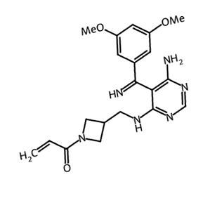 C=CC(=O)N1CC(CNc2ncnc(N)c2C(=N)c2cc(OC)cc(OC)c2)C1